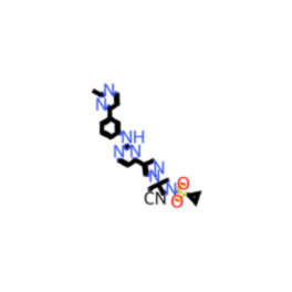 Cc1nccc(-c2cccc(Nc3nccc(-c4cnn(C5(CC#N)CN(S(=O)(=O)C6CC6)C5)c4)n3)c2)n1